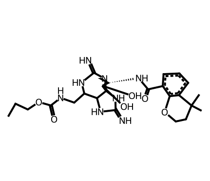 CCCOC(=O)NCC1NC(=N)N2C[C@H](NC(=O)c3cccc4c3OCCC4(C)C)C(O)(O)C23NC(=N)NC13